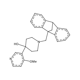 COc1ccncc1C1(O)CCN(CC23CC(c4ccccc42)c2ccccc23)CC1